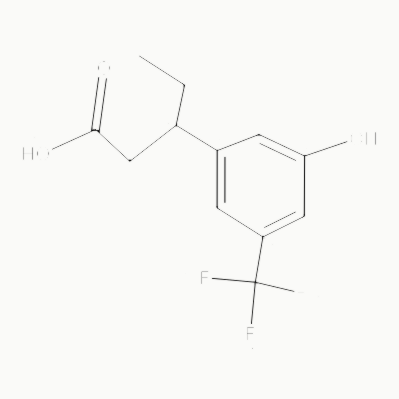 CCC(CC(=O)O)c1cc(O)cc(C(F)(F)F)c1